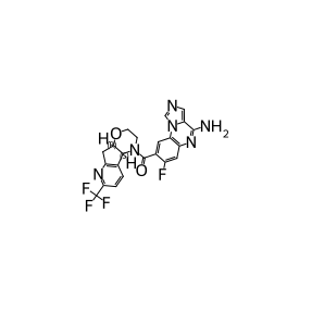 Nc1nc2cc(F)c(C(=O)N3CCO[C@@H]4Cc5nc(C(F)(F)F)ccc5[C@@H]43)cc2n2cncc12